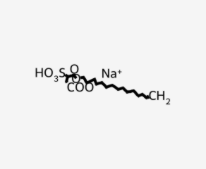 C=CCCCCCCCCCCCCCOC(=O)C(CC(=O)[O-])S(=O)(=O)O.[Na+]